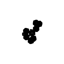 c1ccc(-c2ccc3oc4cccc(-c5nc(-c6ccccc6)nc(-c6ccc7c(c6)-c6cccc8cccc-7c68)n5)c4c3c2)cc1